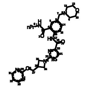 CCCNC(=O)c1cc(CN2CCOCC2)ccc1NC(=O)c1csc(N2CC(COc3ncccn3)C2)n1